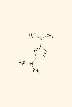 CN(C)[C]1C=CC(N(C)C)=C1